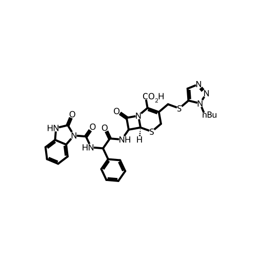 CCCCn1nncc1SCC1=C(C(=O)O)N2C(=O)C(NC(=O)C(NC(=O)n3c(=O)[nH]c4ccccc43)c3ccccc3)[C@@H]2SC1